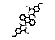 C=Cc1ccc(C(=O)Nc2c3ccccc3c(NC(=O)c3ccc(C=C)cc3C(=O)O)c3ccccc23)c(C(=O)O)c1